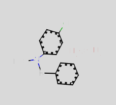 CN([B]c1ccccc1)c1ccc(Cl)cc1.O.O